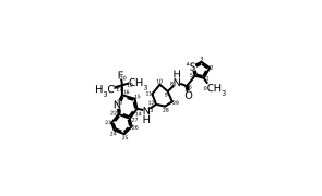 Cc1ccsc1C(=O)NC1CCC(Nc2cc(C(C)(C)F)nc3ccccc23)CC1